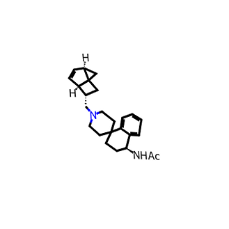 CC(=O)N[C@H]1CCC2(CCN(C[C@H]3CC45C[C@@H]4C=C[C@H]35)CC2)c2ccccc21